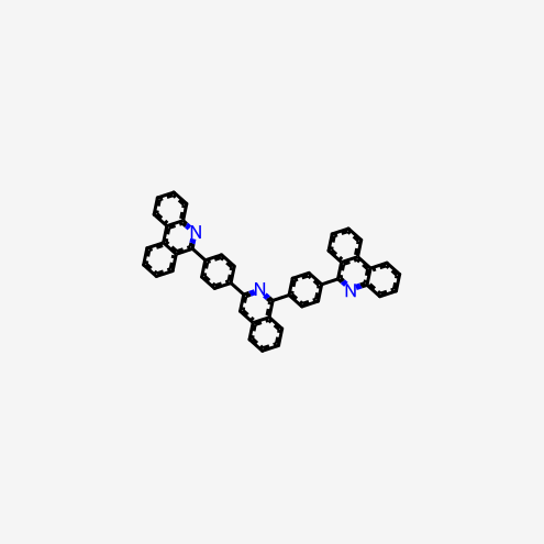 c1ccc2c(-c3ccc(-c4nc5ccccc5c5ccccc45)cc3)nc(-c3ccc(-c4nc5ccccc5c5ccccc45)cc3)cc2c1